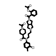 CC(=O)Oc1ccccc1C(=O)N1CC2CN(CCCN(C(=O)C3CCN(C(C)=O)CC3)c3ccc(C)c(Cl)c3)CC2C1